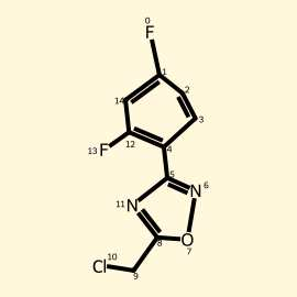 Fc1ccc(-c2noc(CCl)n2)c(F)c1